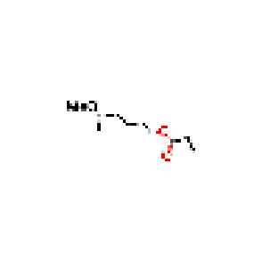 C=CC(=O)OCCCCC(C)OC